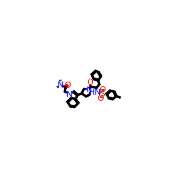 Cc1ccc(S(=O)(=O)NC(Cc2ccccc2)C(=O)N2CCC(c3cn(CC(=O)N(C)C)c4ccccc34)C2)cc1